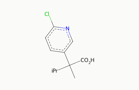 CC(C)C(C)(C(=O)O)c1ccc(Cl)nc1